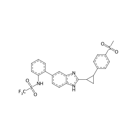 CS(=O)(=O)c1ccc(C2CC2c2nc3cc(-c4ccccc4NS(=O)(=O)C(F)(F)F)ccc3[nH]2)cc1